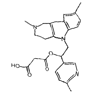 Cc1ccc2c(c1)c1c(n2CC(OC(=O)CC(=O)O)c2ccc(C)nc2)CCN(C)C1